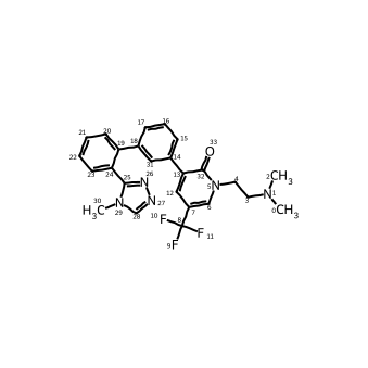 CN(C)CCn1cc(C(F)(F)F)cc(-c2cccc(-c3ccccc3-c3nncn3C)c2)c1=O